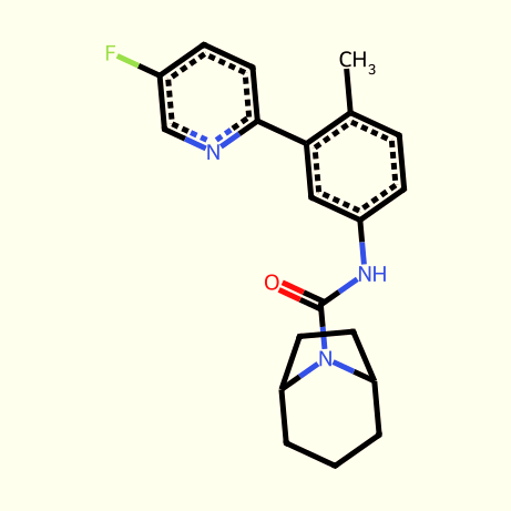 Cc1ccc(NC(=O)N2C3CCCC2CC3)cc1-c1ccc(F)cn1